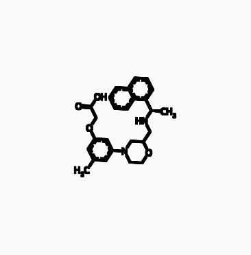 Cc1cc(OCC(=O)O)cc(N2CCOC(CN[C@H](C)c3cccc4ccccc34)C2)c1